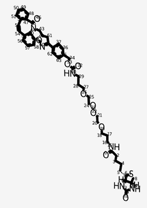 O=C(CCCC[C@@H]1SC[C@@H]2NC(=O)N[C@@H]21)NCCCOCCOOCCOCCCNC(=O)OCc1ccc(C2=NOC(CN3C(=O)c4ccccc4C#Cc4ccccc43)C2)cc1